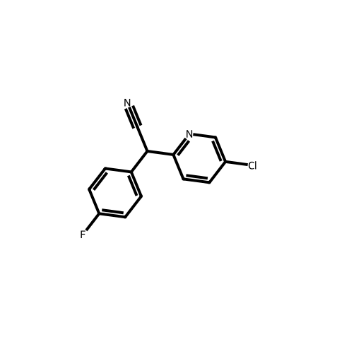 N#CC(c1ccc(F)cc1)c1ccc(Cl)cn1